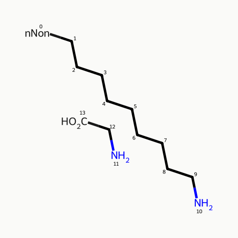 CCCCCCCCCCCCCCCCCCN.NCC(=O)O